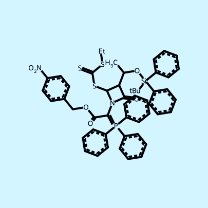 CCSC(=S)SC1C(C(C)O[Si](c2ccccc2)(c2ccccc2)C(C)(C)C)C(=O)N1C(C(=O)OCc1ccc([N+](=O)[O-])cc1)=P(c1ccccc1)(c1ccccc1)c1ccccc1